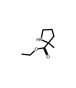 CCOC(=O)C1(C)CCCN1